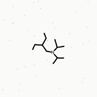 CCC(CC)CN(C(C)C)C(C)C